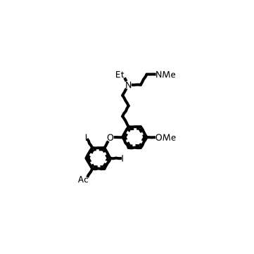 CCN(CCCc1cc(OC)ccc1Oc1c(I)cc(C(C)=O)cc1I)CCNC